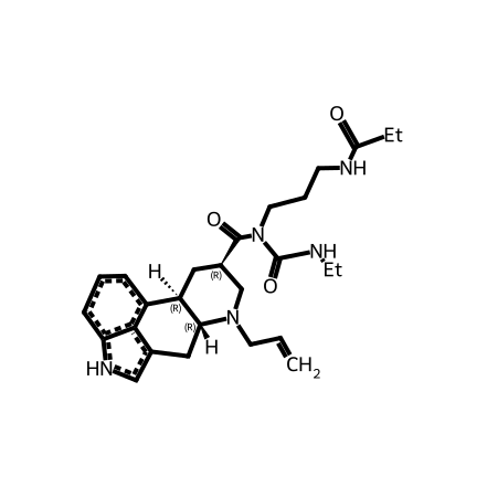 C=CCN1C[C@H](C(=O)N(CCCNC(=O)CC)C(=O)NCC)C[C@@H]2c3cccc4[nH]cc(c34)C[C@H]21